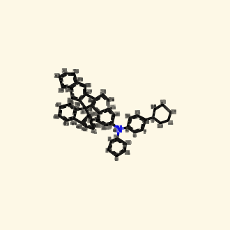 c1ccc(N(c2ccc(C3CCCCC3)cc2)c2ccc3c4c(ccc3c2)-c2cc3ccccc3cc2C42c3ccccc3-c3ccccc32)cc1